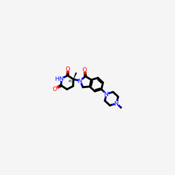 CN1CCN(c2ccc3c(c2)CN([C@]2(C)CCC(=O)NC2=O)C3=O)CC1